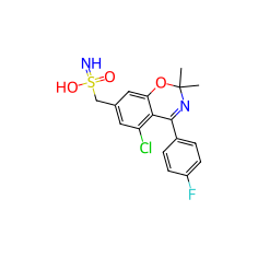 CC1(C)N=C(c2ccc(F)cc2)c2c(Cl)cc(CS(=N)(=O)O)cc2O1